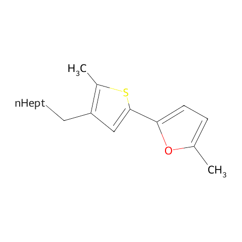 CCCCCCCCc1cc(-c2ccc(C)o2)sc1C